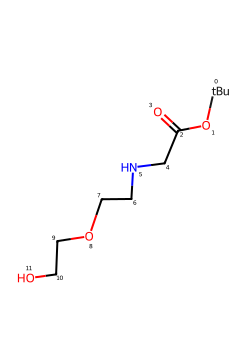 CC(C)(C)OC(=O)CNCCOCCO